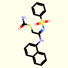 NC(=O)SC/C(=N\S(=O)(=O)c1ccccc1)Nc1cccc2ccccc12